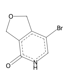 O=c1[nH]cc(Br)c2c1COC2